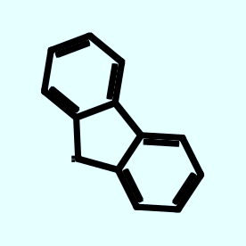 [C]1c2ccccc2-c2ccccc21